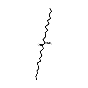 CCCCCCCCCCCC(=O)C(N)CCCCCCCCCCC